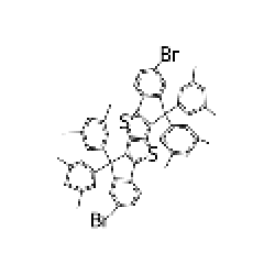 Cc1cc(C)cc(C2(c3cc(C)cc(C)c3)c3cc(Br)ccc3-c3sc4c5c(sc4c32)-c2ccc(Br)cc2C5(c2cc(C)cc(C)c2)c2cc(C)cc(C)c2)c1